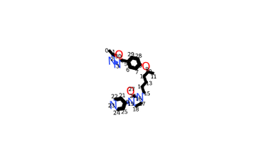 Cc1nnc(-c2ccc(OC(C)CCCCN3CCN(c4ccncc4)C3=O)cc2)o1